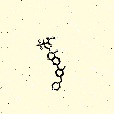 CC(CCn1cnc2cc(-c3ccc(CN4CCOCC4)cc3F)ccc2c1=O)(C(=O)NO)S(C)(=O)=O